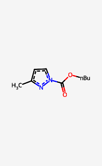 CCCCOC(=O)n1ccc(C)n1